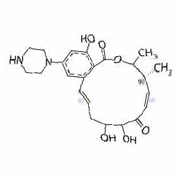 CC1OC(=O)c2c(O)cc(N3CCNCC3)cc2/C=C/CC(O)C(O)C(=O)/C=C\[C@H]1C